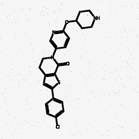 O=C1c2sc(-c3ccc(Cl)cc3)cc2CCN1c1ccc(OC2CCNCC2)nc1